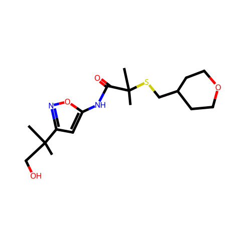 CC(C)(SCC1CCOCC1)C(=O)Nc1cc(C(C)(C)CO)no1